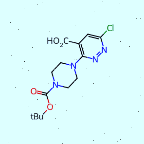 CC(C)(C)OC(=O)N1CCN(c2nnc(Cl)cc2C(=O)O)CC1